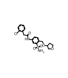 NS(=O)(=O)c1cc(NC(=O)Cc2ccccc2Cl)ccc1COC1CCOC1